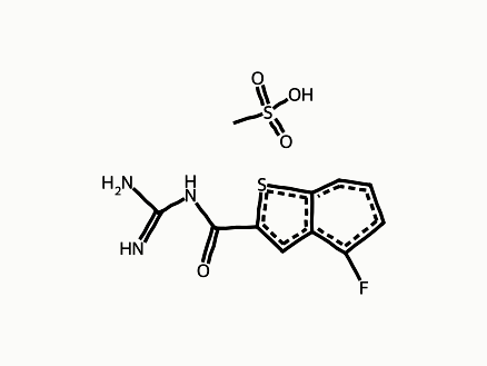 CS(=O)(=O)O.N=C(N)NC(=O)c1cc2c(F)cccc2s1